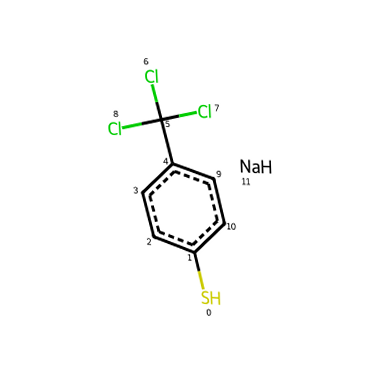 Sc1ccc(C(Cl)(Cl)Cl)cc1.[NaH]